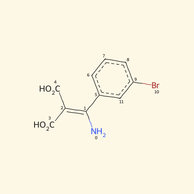 NC(=C(C(=O)O)C(=O)O)c1cccc(Br)c1